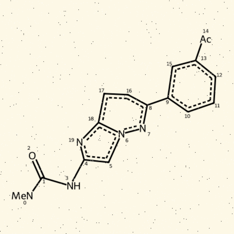 CNC(=O)Nc1cn2nc(-c3cccc(C(C)=O)c3)ccc2n1